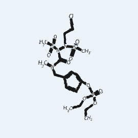 CCOP(=O)(OCC)Oc1ccc(CN(C)C(=O)N(N(CCCl)S(C)(=O)=O)S(C)(=O)=O)cc1